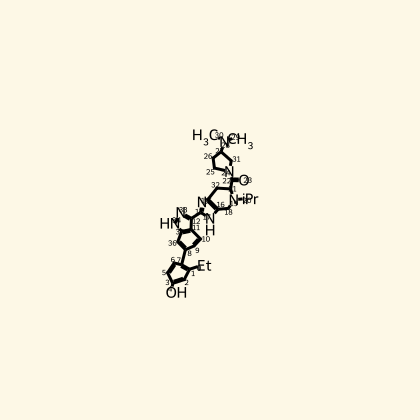 CCc1cc(O)ccc1-c1ccc2c(-c3nc4c([nH]3)CN(C(C)C)C(C(=O)N3CCC(N(C)C)C3)C4)n[nH]c2c1